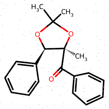 CC1(C)O[C@H](c2ccccc2)[C@](C)(C(=O)c2ccccc2)O1